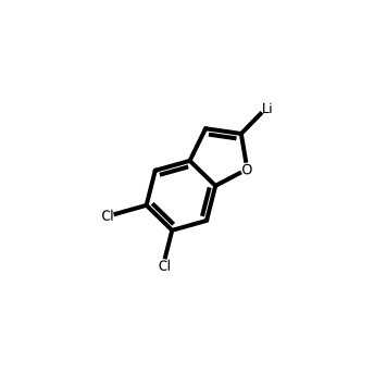 [Li][c]1cc2cc(Cl)c(Cl)cc2o1